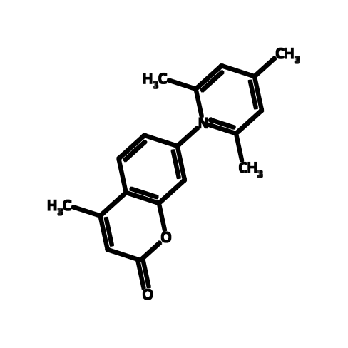 Cc1cc(C)[n+](-c2ccc3c(C)cc(=O)oc3c2)c(C)c1